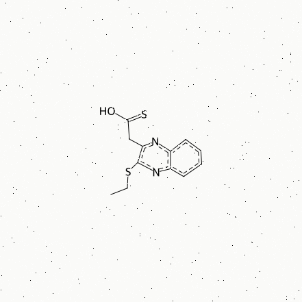 CCSc1nc2ccccc2nc1CC(O)=S